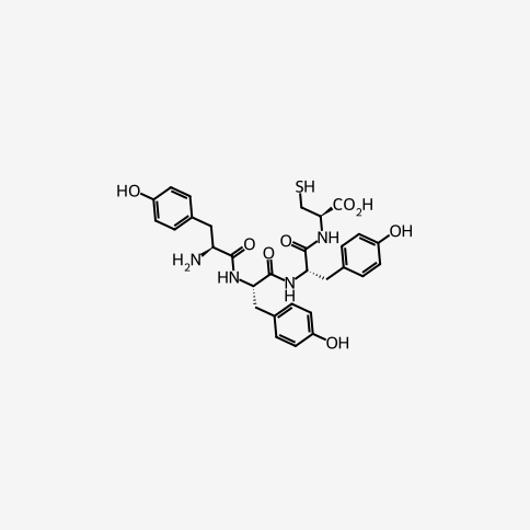 N[C@@H](Cc1ccc(O)cc1)C(=O)N[C@@H](Cc1ccc(O)cc1)C(=O)N[C@@H](Cc1ccc(O)cc1)C(=O)N[C@@H](CS)C(=O)O